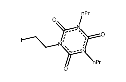 CCCn1c(=O)n(CCC)c(=O)n(CCI)c1=O